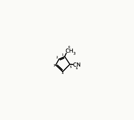 CC1=CC=CC1C#N